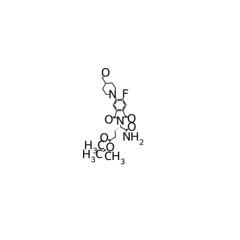 CC(C)(C)OC(=O)CC[C@@H](C(N)=O)N1C(=O)c2cc(F)c(N3CCC(C=O)CC3)cc2C1=O